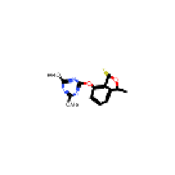 COc1nc(OC)nc(Oc2cccc3c2C(=S)OC3C)n1